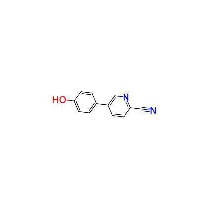 N#Cc1ccc(-c2ccc(O)cc2)cn1